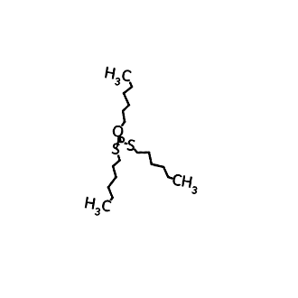 CCCCCCOP(SCCCCCC)SCCCCCC